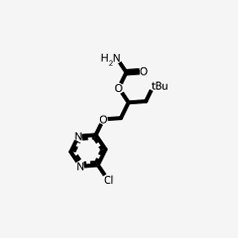 CC(C)(C)CC(COc1cc(Cl)ncn1)OC(N)=O